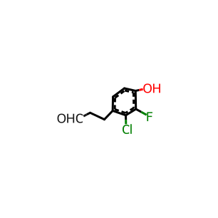 O=CCCc1ccc(O)c(F)c1Cl